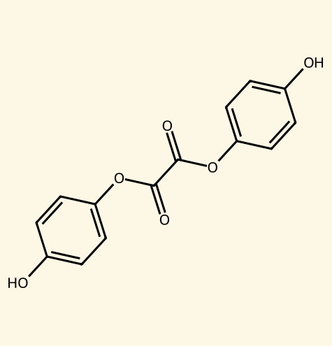 O=C(Oc1ccc(O)cc1)C(=O)Oc1ccc(O)cc1